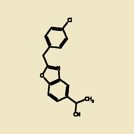 CC(C#N)c1ccc2oc(Cc3ccc(Cl)cc3)nc2c1